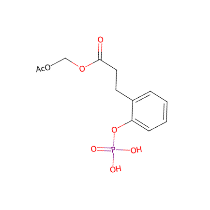 CC(=O)OCOC(=O)CCc1ccccc1OP(=O)(O)O